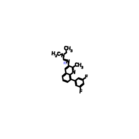 CCN(C)/C=N/c1cc2cccc(-c3cc(F)cc(F)c3)c2nc1C